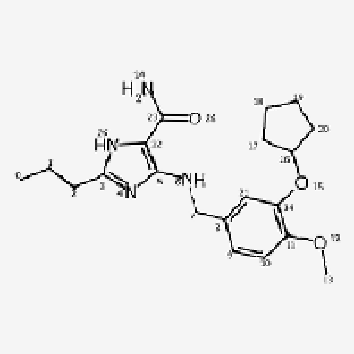 CCCc1nc(NCc2ccc(OC)c(OC3CCCC3)c2)c(C(N)=O)[nH]1